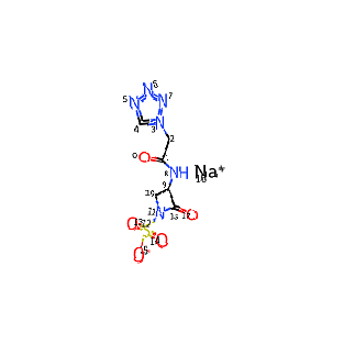 O=C(Cn1cnnn1)NC1CN(S(=O)(=O)[O-])C1=O.[Na+]